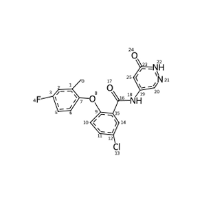 Cc1cc(F)ccc1Oc1ccc(Cl)cc1C(=O)Nc1cn[nH]c(=O)c1